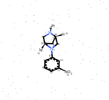 CC(C)N1C[C@@H]2C[C@H]1CN2c1cccc([N+](=O)[O-])c1